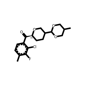 Cc1ccc(C(=O)[C@@H]2CCC(C3OCC(C)CO3)CO2)c(Cl)c1F